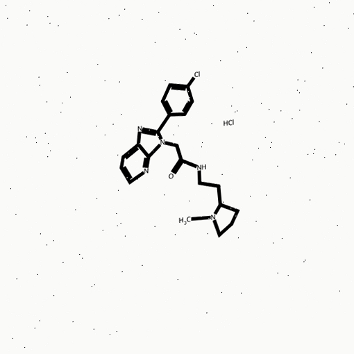 CN1CCCC1CCNC(=O)Cn1c(-c2ccc(Cl)cc2)nc2cccnc21.Cl